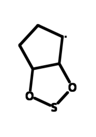 [CH]1CCC2OSOC12